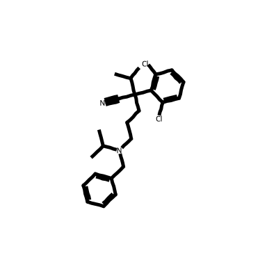 CC(C)N(CCCC(C#N)(c1c(Cl)cccc1Cl)C(C)C)Cc1ccccc1